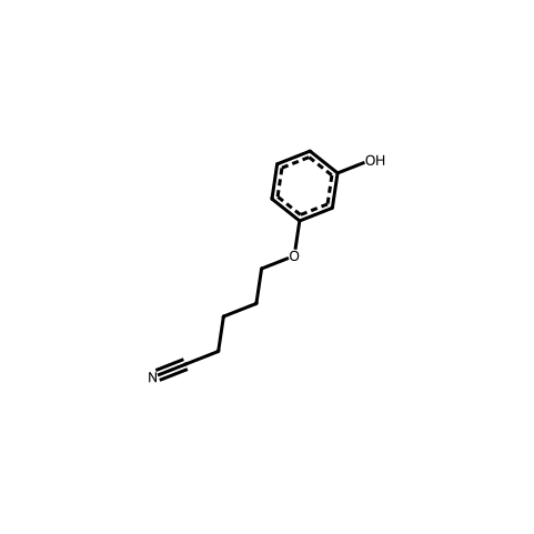 N#CCCCCOc1cccc(O)c1